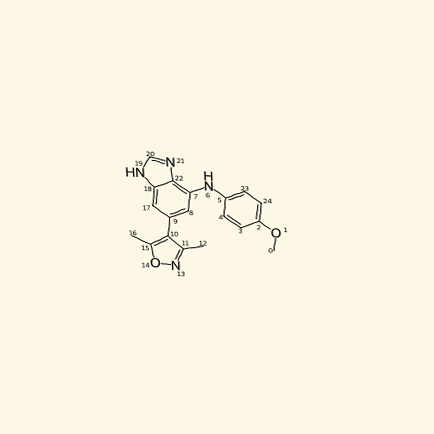 COc1ccc(Nc2cc(-c3c(C)noc3C)cc3[nH]cnc23)cc1